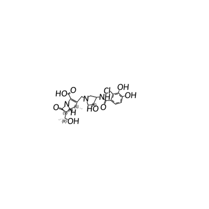 C[C@@H](O)[C@H]1C(=O)N2C(C(=O)O)=C(CN3CC(NC(=O)c4ccc(O)c(O)c4Cl)[C@H](O)C3)[C@H](C)[C@H]12